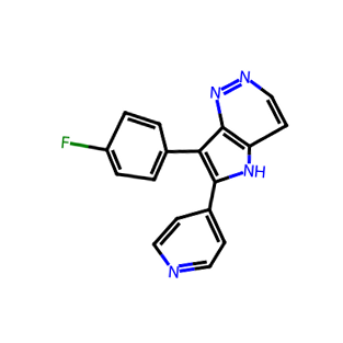 Fc1ccc(-c2c(-c3ccncc3)[nH]c3ccnnc23)cc1